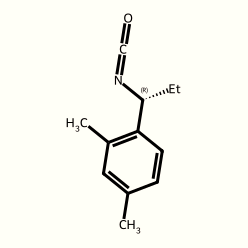 CC[C@@H](N=C=O)c1ccc(C)cc1C